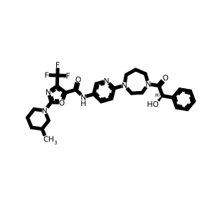 CC1CCCN(c2nc(C(F)(F)F)c(C(=O)Nc3ccc(N4CCCN(C(=O)[C@H](O)c5ccccc5)CC4)nc3)o2)C1